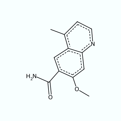 COc1cc2nccc(C)c2cc1C(N)=O